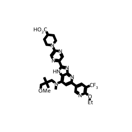 CCOc1ncc(-c2cc(N(C)CC(C)(C)COC)c3[nH]c(-c4cnc(N5CCC(C(=O)O)CC5)cn4)nc3n2)cc1C(F)(F)F